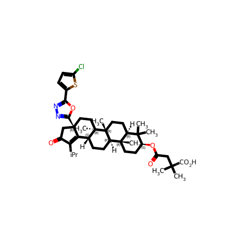 CC(C)C1=C2[C@H]3CC[C@@H]4[C@@]5(C)CC[C@H](OC(=O)CC(C)(C)C(=O)O)C(C)(C)[C@@H]5CC[C@@]4(C)[C@]3(C)CC[C@@]2(c2nnc(-c3ccc(Cl)s3)o2)CC1=O